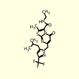 CCNC(=O)c1c(C)sc2nc(Cn3nc(C(F)(F)F)cc3CC(C)C)cc(=O)n12